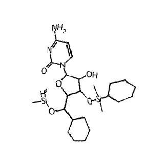 C[SiH](C)OC(C1CCCCC1)C1OC(n2ccc(N)nc2=O)C(O)C1O[Si](C)(C)C1CCCCC1